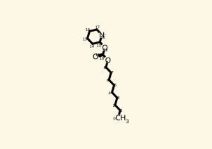 CCCCCCCCCOC(=O)OC1CCCC[N]1